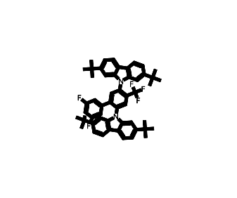 CC(C)(C)c1ccc2c3ccc(C(C)(C)C)cc3n(-c3cc(C(F)(F)F)c(-n4c5cc(C(C)(C)C)ccc5c5ccc(C(C)(C)C)cc54)cc3-c3cc(F)cc(F)c3)c2c1